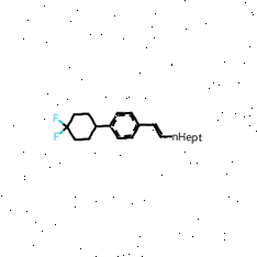 CCCCCCCC=Cc1ccc(C2CCC(F)(F)CC2)cc1